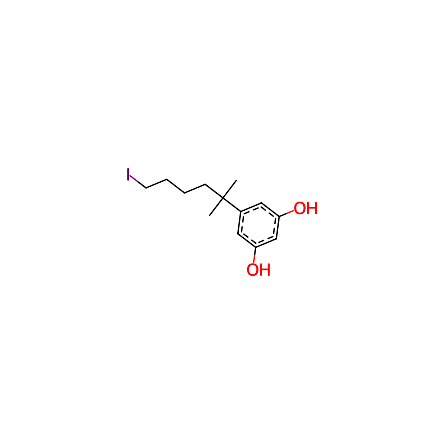 CC(C)(CCCCI)c1cc(O)cc(O)c1